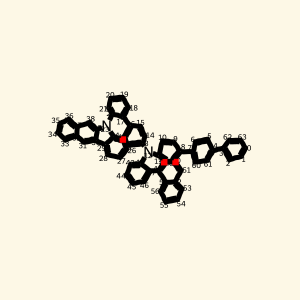 c1ccc(-c2ccc(-c3ccc(N(c4ccc(-c5ccccc5-n5c6ccccc6c6cc7ccccc7cc65)cc4)c4ccccc4-c4cccc5ccccc45)cc3)cc2)cc1